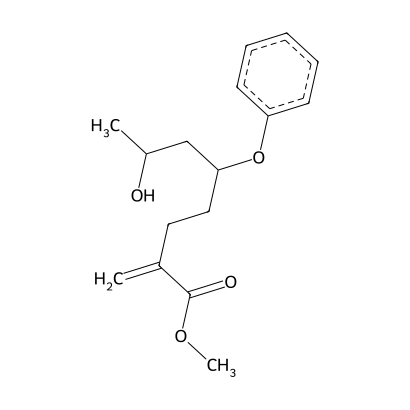 C=C(CCC(CC(C)O)Oc1ccccc1)C(=O)OC